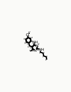 CCCCCNc1nc(C)c(Cc2ccc(OC)cc2)c(N)n1